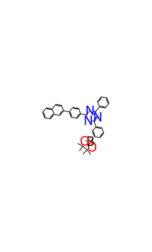 CC1(C)OB(c2cccc(-c3nc(-c4ccccc4)nc(-c4ccc(-c5ccc6ccccc6c5)cc4)n3)c2)OC1(C)C